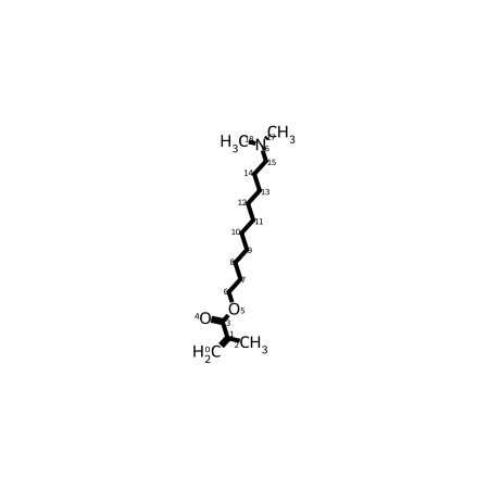 C=C(C)C(=O)OCCCCCCCCCCN(C)C